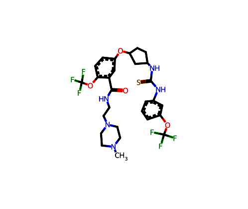 CN1CCN(CCNC(=O)c2cc(OC3CCC(NC(=S)Nc4cccc(OC(F)(F)F)c4)C3)ccc2OC(F)(F)F)CC1